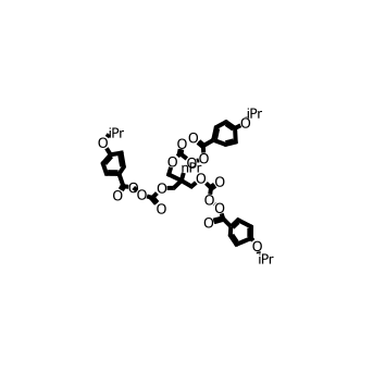 CCCC(COC(=O)OOC(=O)c1ccc(OC(C)C)cc1)(COC(=O)OOC(=O)c1ccc(OC(C)C)cc1)COC(=O)OOC(=O)c1ccc(OC(C)C)cc1